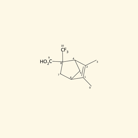 CC1=C(C)C2CC1CC2(C(=O)O)C(F)(F)F